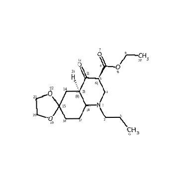 CCCN1C[C@H](C(=O)OCC)C(=O)[C@@H]2CC3(CCC21)OCCO3